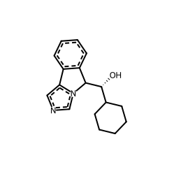 O[C@H](C1CCCCC1)C1c2ccccc2-c2cncn21